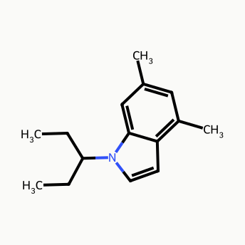 CCC(CC)n1ccc2c(C)cc(C)cc21